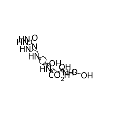 O=C1NNC2NCC(CNC3=CC[C@H]([C@@H](O)N[C@@H](CC[C@@H](O)NCCOCCO)C(=O)O)CC3)=NC12